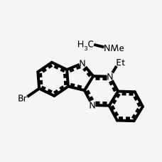 CCn1c2nc3ccc(Br)cc3c-2nc2ccccc21.CNC